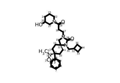 CN(C)[C@]1(c2ccccc2)CC[C@@]2(CC1)CN(CCC(=O)N1CCCC(O)C1)C(=O)N2CC1CCC1